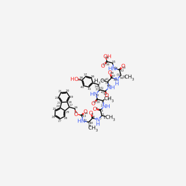 CC(NC(=O)C(C)NC(=O)[C@H](C)NC(=O)OCC1c2ccccc2-c2ccccc21)C(=O)N[C@@H](Cc1ccc(O)cc1)C(=O)N[C@@H](C)C(=O)N[C@@H](C)C(=O)NCC(=O)O